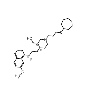 COc1ccc2nccc([C@@H](F)CC[C@@H]3CCN(CCCSC4CCCCCC4)C[C@@H]3CO)c2c1